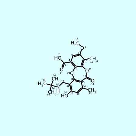 COc1cc(C(=O)O)c2c(c1C)OC(=O)c1c(C)cc(O)c(CNC(C)(C)C)c1O2